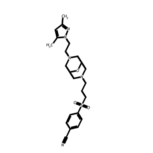 Cc1cc(C)n(CCN2CC3CN(CCCS(=O)(=O)c4ccc(C#N)cc4)CC(C2)O3)n1